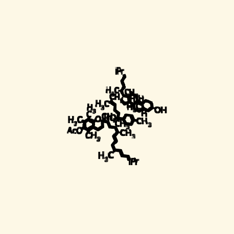 CC(=O)Oc1c(C)c(C)c2c(c1C)CC[C@@](C)(CCC[C@H](C)CCC[C@H](C)CCCC(C)C)O2.CC(C)=CCCC(C)(O)C1CC=C(C)CC1.CC(C)CCC[C@@H](C)[C@H]1CC[C@H]2[C@@H]3CC[C@H]4C[C@@H](O)CC[C@]4(C)[C@H]3CC[C@]12C